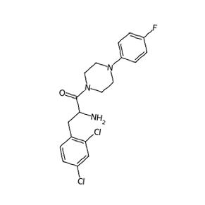 NC(Cc1ccc(Cl)cc1Cl)C(=O)N1CCN(c2ccc(F)cc2)CC1